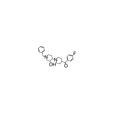 O=C(c1ccc(F)cc1)C1CCN(C2CCN(Cc3ccccc3)CC2O)CC1